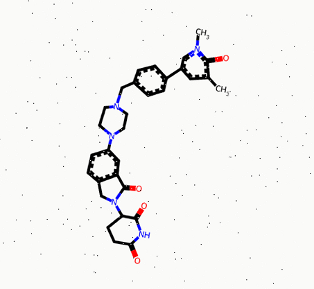 Cc1cc(-c2ccc(CN3CCN(c4ccc5c(c4)C(=O)N(C4CCC(=O)NC4=O)C5)CC3)cc2)cn(C)c1=O